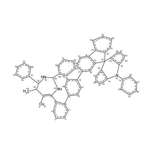 CC1=C(c2ccccc2-c2ccc(-c3ccc4c(c3)C3(c5ccccc5-4)c4ccccc4N(c4ccccc4)c4ccccc43)cc2)NC(c2ccccc2)NC(c2ccccc2)C1C